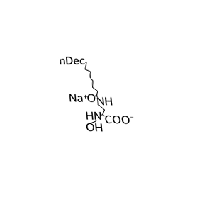 CCCCCCCCCCCCCCCCCC(=O)NCCC(NCCO)C(=O)[O-].[Na+]